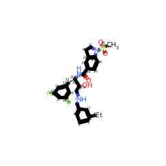 CCc1cccc(CNC[C@@H](O)[C@H](Cc2cc(F)cc(F)c2)NC(=O)c2ccc3c(c2)CCN3S(C)(=O)=O)c1